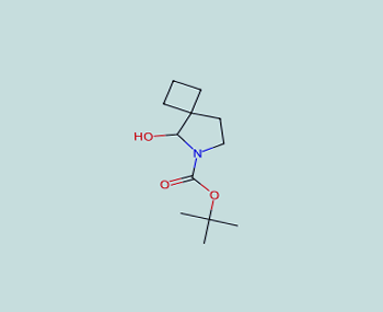 CC(C)(C)OC(=O)N1CCC2(CCC2)C1O